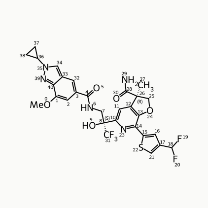 COc1cc(C(=O)NC[C@](O)(c2cc3c(c(-c4cc(C(F)F)cs4)n2)OC[C@]3(C)C(N)=O)C(F)(F)F)cc2cn(C3CC3)nc12